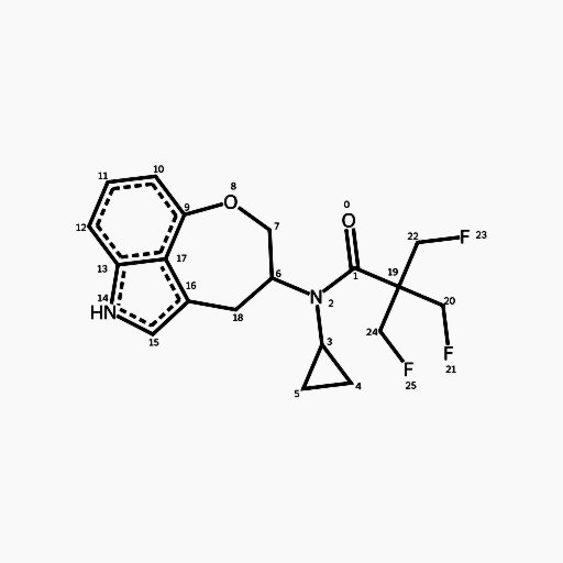 O=C(N(C1CC1)C1COc2cccc3[nH]cc(c23)C1)C(CF)(CF)CF